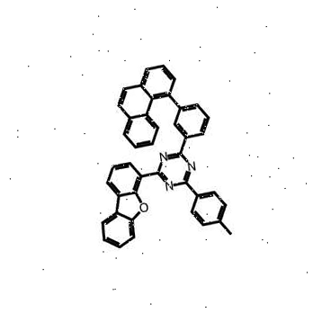 Cc1ccc(-c2nc(-c3cccc(-c4cccc5ccc6ccccc6c45)c3)nc(-c3cccc4c3oc3ccccc34)n2)cc1